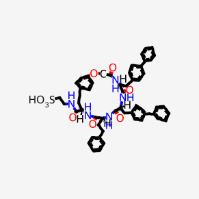 O=C1COc2ccc(cc2)C[C@@H](C(=O)NCCS(=O)(=O)O)NC(=O)[C@H](CCc2ccccc2)NC(=O)[C@@H](Cc2ccc(-c3ccccc3)cc2)NC(=O)[C@H](Cc2ccc(-c3ccccc3)cc2)N1